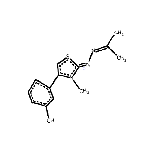 CC(C)=N/N=c1\scc(-c2cccc(O)c2)n1C